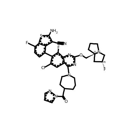 N#Cc1c(N)sc2c(F)ccc(-c3c(Cl)cc4c(N5CCCC(C(=O)n6cccn6)CC5)nc(OC[C@@]56CCCN5C[C@H](F)C6)nc4c3F)c12